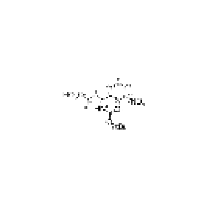 CC(CC(NC(=O)OC(C)(C)C)c1cccc([N+](=O)[O-])c1)C(=O)O